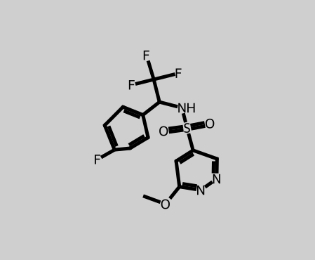 COc1cc(S(=O)(=O)NC(c2ccc(F)cc2)C(F)(F)F)cnn1